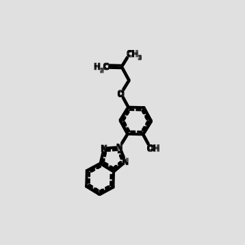 C=C(C)COc1ccc(O)c(-n2nc3ccccc3n2)c1